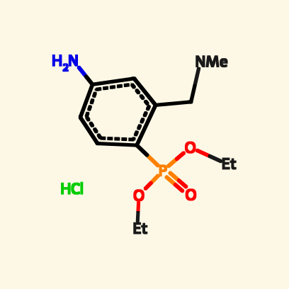 CCOP(=O)(OCC)c1ccc(N)cc1CNC.Cl